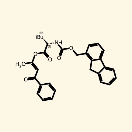 CC[C@H](C)[C@H](NC(=O)OCc1cccc2c1Cc1ccccc1-2)C(=O)OC(C)=CC(=O)c1ccccc1